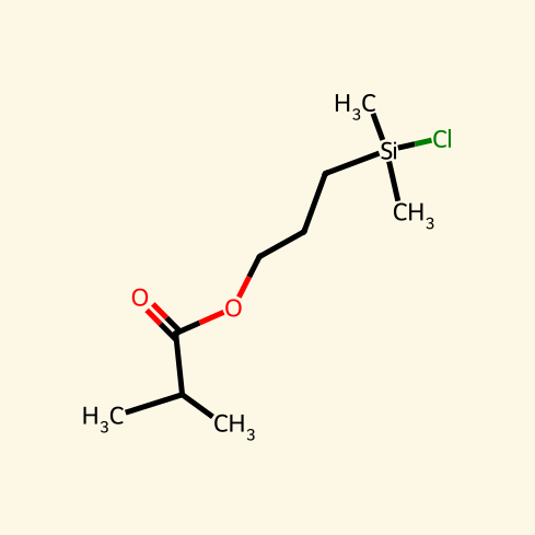 CC(C)C(=O)OCCC[Si](C)(C)Cl